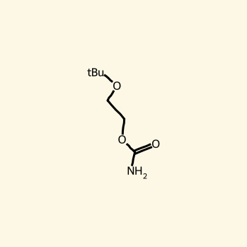 CC(C)(C)OCCOC(N)=O